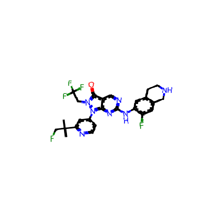 CC(C)(CF)c1cc(-n2c3nc(Nc4cc5c(cc4F)CNCC5)ncc3c(=O)n2CC(F)(F)F)ccn1